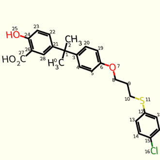 CC(C)(c1ccc(OCCCSc2ccc(Cl)cc2)cc1)c1ccc(O)c(C(=O)O)c1